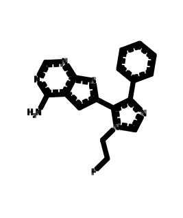 Nc1ncnc2sc(-c3c(-c4ccccc4)ncn3CCF)cc12